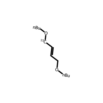 CCCCOC/C=C/[13CH2]OCCCC